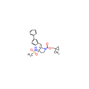 CC1(COC(=O)N2CC[C@@H](NS(C)(=O)=O)[C@H]2Cc2cccc(-c3ccccc3)c2)CC1